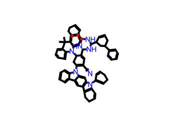 CC1(C)c2ccccc2N(C2CC(n3c4ccccc4c4cc5c6c(n(C7=CCCC=C7)c5cc43)C=CCC6)=C(C#N)C=C2C2NC(C3=CCCC=C3)NC(C3C=CCC(c4ccccc4)C3)N2)c2ccccc21